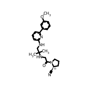 COc1cccc(-c2cccc(NCC(C)(C)NCC(=O)N3CCC[C@H]3C#N)n2)c1